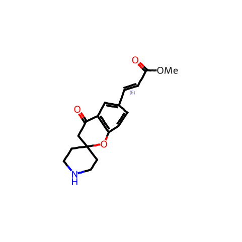 COC(=O)/C=C/c1ccc2c(c1)C(=O)CC1(CCNCC1)O2